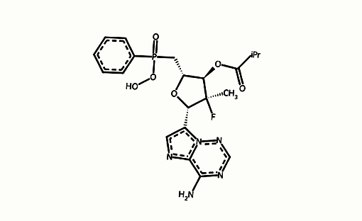 CC(C)C(=O)O[C@@H]1[C@@H](CP(=O)(OO)c2ccccc2)O[C@@H](c2cnc3c(N)ncnn23)[C@]1(C)F